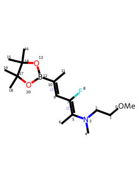 COCCN(C)/C(C)=C(F)/C=C(\C)B1OC(C)(C)C(C)(C)O1